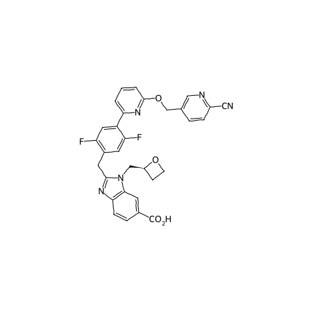 N#Cc1ccc(COc2cccc(-c3cc(F)c(Cc4nc5ccc(C(=O)O)cc5n4C[C@@H]4CCO4)cc3F)n2)cn1